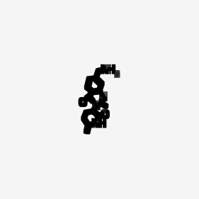 C=C1CCC(n2c(C)nc3cc(CN)ccc3c2=O)C(=O)N1